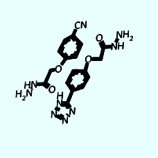 N#Cc1ccc(OCC(=O)NN)cc1.NNC(=O)COc1ccc(-c2nnn[nH]2)cc1